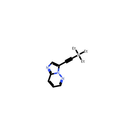 CC[Si](C#Cc1cnc2cccnn12)(CC)CC